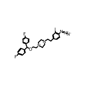 [N-]=[N+]=Nc1ccc(CCN2CCN(CCOC(c3ccc(F)cc3)c3ccc(F)cc3)CC2)cc1I